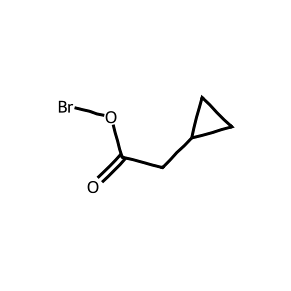 O=C(CC1CC1)OBr